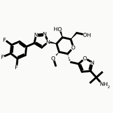 CO[C@@H]1[C@@H](n2cc(-c3cc(F)c(F)c(F)c3)nn2)[C@@H](O)[C@@H](CO)O[C@@H]1Cc1cc(C(C)(C)N)no1